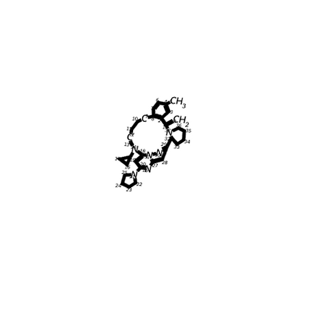 C=C1c2cc(C)ccc2CCCCCN(C2CC2)c2cc(N3CCCC3)nc3cc(nn23)C2CCCCN12